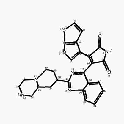 O=C1NC(=O)C(c2c[nH]c3sccc23)=C1c1nc(C2CCN3CCNCC3C2)nc2ccccc12